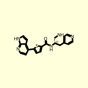 NC[C@H](Cc1ccncc1)NC(=O)c1ccc(-c2ccnc3[nH]ccc23)s1